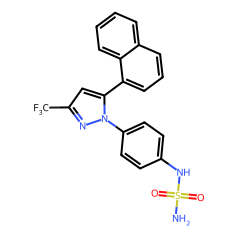 NS(=O)(=O)Nc1ccc(-n2nc(C(F)(F)F)cc2-c2cccc3ccccc23)cc1